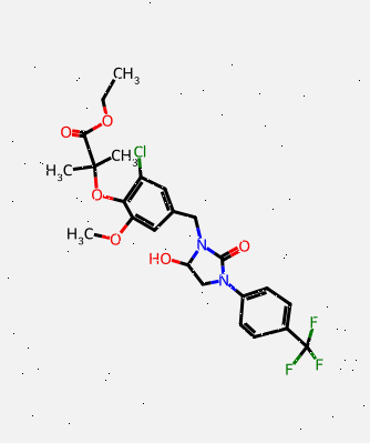 CCOC(=O)C(C)(C)Oc1c(Cl)cc(CN2C(=O)N(c3ccc(C(F)(F)F)cc3)CC2O)cc1OC